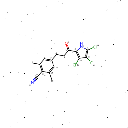 Cc1cc(CCC(=O)c2[nH]c(Cl)c(Cl)c2Cl)cc(C)c1C#N